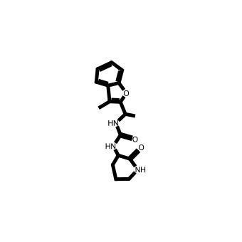 Cc1c(C(C)NC(=O)NC2CCCNC2=O)oc2ccccc12